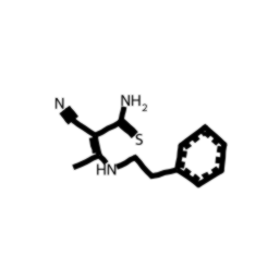 CC(NCCc1ccccc1)=C(C#N)C(N)=S